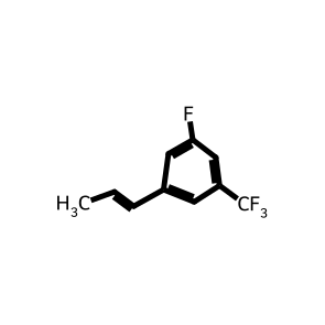 CC=Cc1cc(F)cc(C(F)(F)F)c1